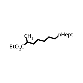 CCCCCCCCCCCCC(C)C(=O)OCC